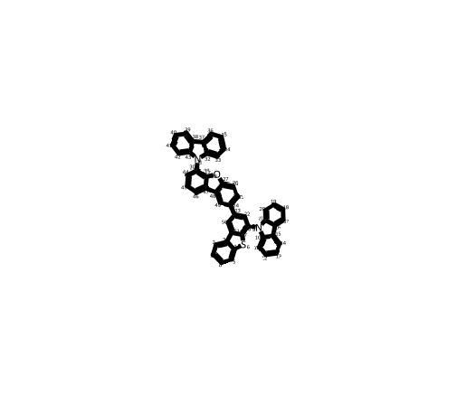 c1ccc2c(c1)sc1c(-n3c4ccccc4c4ccccc43)cc(-c3ccc4oc5c(-n6c7ccccc7c7ccccc76)cccc5c4c3)cc12